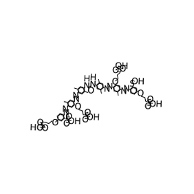 Cc1cc(NC(=O)Nc2cc(C)c(N=Nc3cc(C)c(N=Nc4ccc(OCCCS(=O)(=O)O)cc4S(=O)(=O)O)cc3OCCCS(=O)(=O)O)cc2C)c(C)cc1N=Nc1cc(C)c(N=Nc2ccc(OCCCS(=O)(=O)O)cc2SO)cc1OCCCS(=O)(=O)O